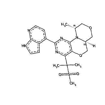 C[C@@H]1COC[C@H]2COc3c(nc(-c4ccnc5[nH]ccc45)nc3C(C)(C)S(C)(=O)=O)N21